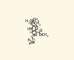 COC(=O)c1nc(/C=C/C(F)(F)F)cc(NC(=O)OC(C)(C)C)c1Cl